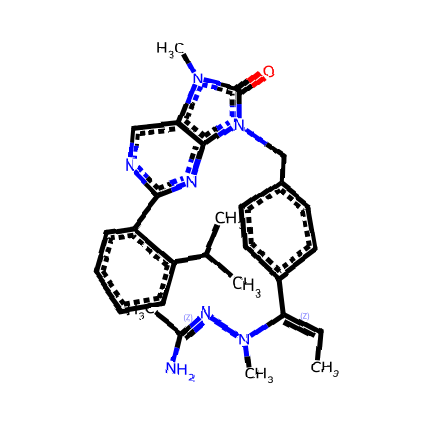 C/C=C(/c1ccc(Cn2c(=O)n(C)c3cnc(-c4ccccc4C(C)C)nc32)cc1)N(C)/N=C(/C)N